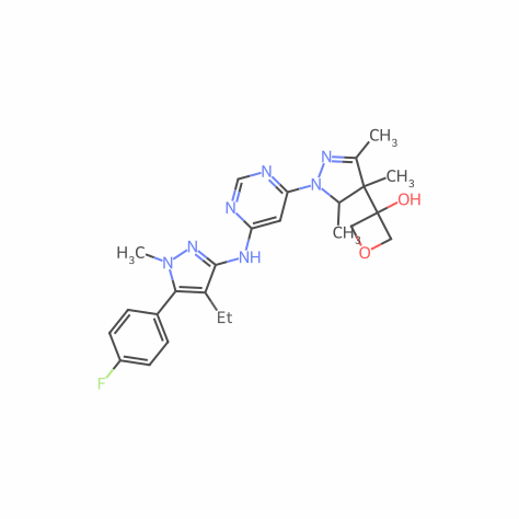 CCc1c(Nc2cc(N3N=C(C)C(C)(C4(O)COC4)C3C)ncn2)nn(C)c1-c1ccc(F)cc1